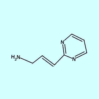 NCC=Cc1ncccn1